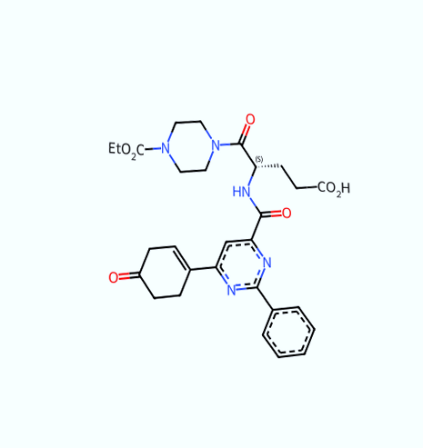 CCOC(=O)N1CCN(C(=O)[C@H](CCC(=O)O)NC(=O)c2cc(C3=CCC(=O)CC3)nc(-c3ccccc3)n2)CC1